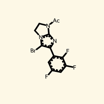 CC(=O)N1CCn2c1nc(-c1cc(F)cc(F)c1F)c2Br